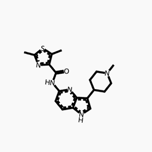 Cc1nc(C(=O)Nc2ccc3[nH]cc(C4CCN(C)CC4)c3n2)c(C)s1